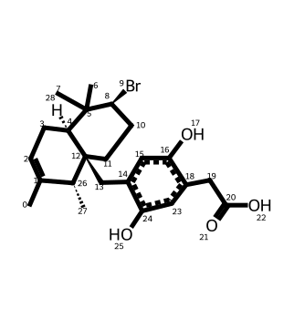 CC1=CC[C@H]2C(C)(C)[C@@H](Br)CC[C@]2(Cc2cc(O)c(CC(=O)O)cc2O)[C@@H]1C